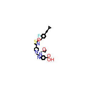 O=C(O)c1ccc2nc(CN3CC=C(c4csc(OCc5ccc(C#CC6CC6)cc5F)n4)CC3)n(C[C@@H]3CCO3)c2c1